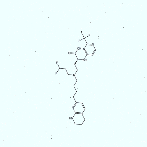 O=C(O)[C@H](CCN(CCCCc1ccc2c(n1)NCCC2)CCC(F)F)Nc1ccnc(C(F)(F)F)n1